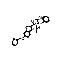 O=C(O)[C@H](Cc1ccccc1)N(C(=O)c1ccc2cc(OCc3ccccc3)ccc2c1)C(F)(F)F